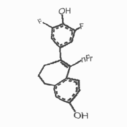 CCCC1=C(c2cc(F)c(O)c(F)c2)CCCc2cc(O)ccc21